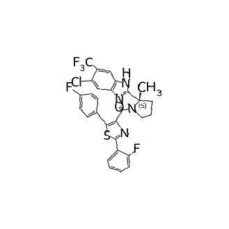 C[C@@]1(c2nc3cc(Cl)c(C(F)(F)F)cc3[nH]2)CCCN1C(=O)c1nc(-c2ccccc2F)sc1-c1ccc(F)cc1